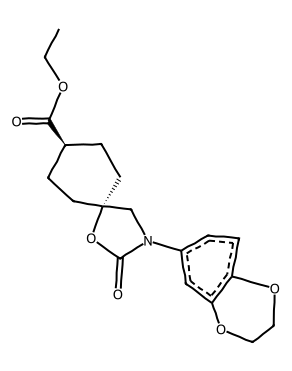 CCOC(=O)[C@H]1CC[C@]2(CC1)CN(c1ccc3c(c1)OCCO3)C(=O)O2